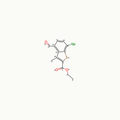 CCOC(=O)c1sc2c(Br)ccc(C=O)c2c1C